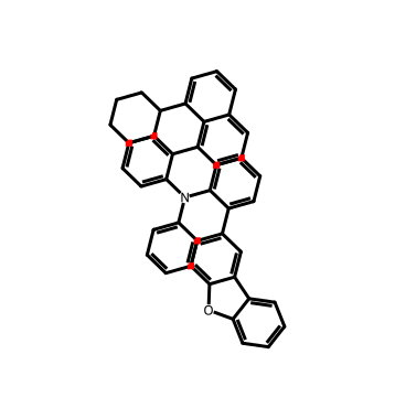 c1ccc(N(c2ccccc2-c2ccc3oc4ccccc4c3c2)c2ccccc2-c2cccc3cccc(C4CCCCC4)c23)cc1